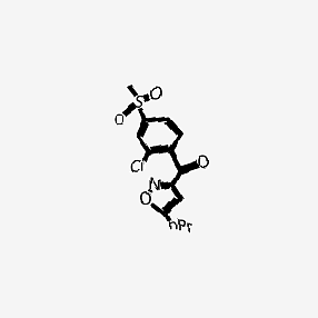 CCCc1cc(C(=O)c2ccc(S(C)(=O)=O)cc2Cl)no1